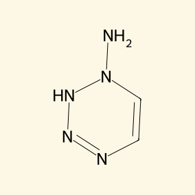 NN1C=CN=NN1